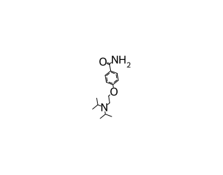 CC(C)N(CCOc1ccc(C(N)=O)cc1)C(C)C